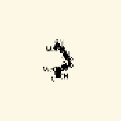 COc1ccc(Cc2nn(COC(=O)CCC(=O)OCn3nc(Cc4ccc(OC)c(Oc5cc(Cl)cc(C#N)c5)c4F)n(C)c3=O)c(=O)n2C)c(F)c1Oc1cc(Cl)cc(C#N)c1